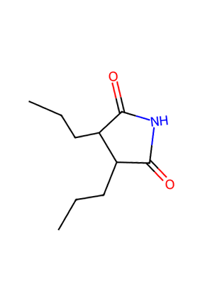 CCCC1C(=O)NC(=O)C1CCC